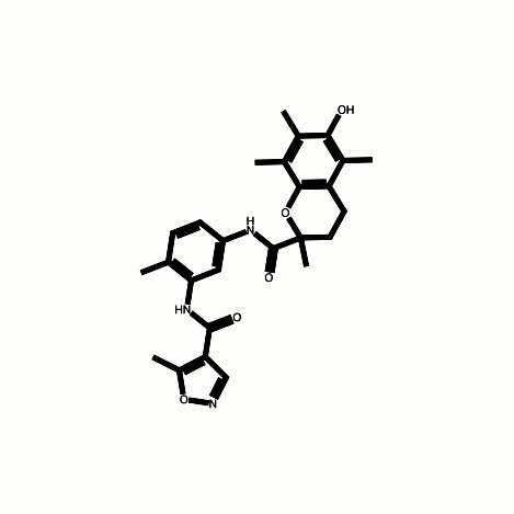 Cc1ccc(NC(=O)C2(C)CCc3c(C)c(O)c(C)c(C)c3O2)cc1NC(=O)c1cnoc1C